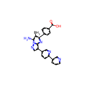 Bc1c(-c2ccc(C(=O)O)cc2)nc2c(-c3ccc(-c4cccnc4)nc3)cnn2c1N